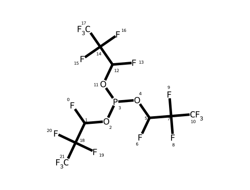 FC(OP(OC(F)C(F)(F)C(F)(F)F)OC(F)C(F)(F)C(F)(F)F)C(F)(F)C(F)(F)F